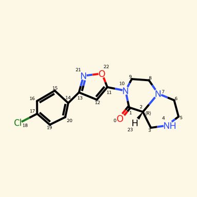 O=C1[C@H]2CNCCN2CCN1c1cc(-c2ccc(Cl)cc2)no1